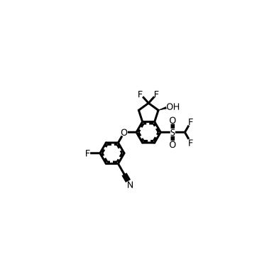 N#Cc1cc(F)cc(Oc2ccc(S(=O)(=O)C(F)F)c3c2CC(F)(F)[C@H]3O)c1